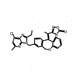 CCc1nc2c(Cl)cc(C)nc2n1Cc1ccc2c(c1)COc1ccccc1/C2=C(/C)c1noc(=O)[nH]1